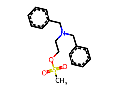 CS(=O)(=O)OCCN(Cc1ccccc1)Cc1ccccc1